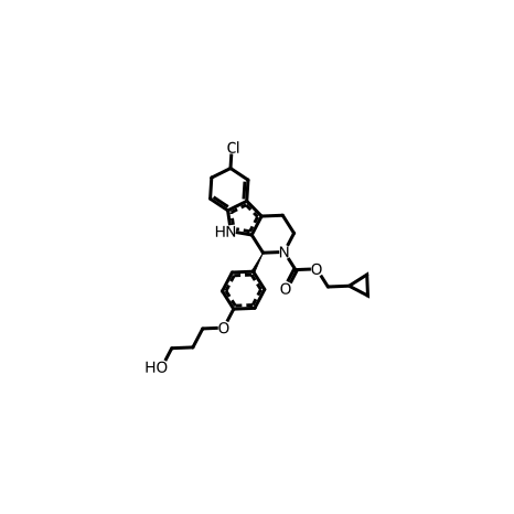 O=C(OCC1CC1)N1CCc2c([nH]c3c2=CC(Cl)CC=3)[C@@H]1c1ccc(OCCCO)cc1